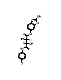 Nc1nc2ccc(NC(=O)C(O)(O)C(O)(O)C(=O)Nc3ccc(Cl)cc3)cc2[nH]1